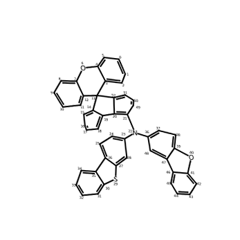 c1ccc2c(c1)Oc1ccccc1C21c2ccccc2-c2c(N(c3ccc4c(c3)sc3ccccc34)c3ccc4oc5ccccc5c4c3)cccc21